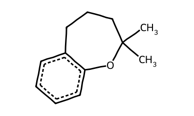 CC1(C)CCCc2ccccc2O1